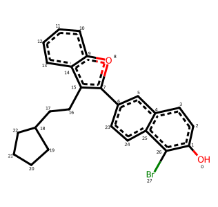 Oc1ccc2cc(-c3oc4ccccc4c3CCC3CCCC3)ccc2c1Br